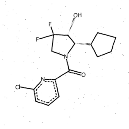 O=C(c1cccc(Cl)n1)N1CC(F)(F)[C@H](O)[C@@H]1C1CCCC1